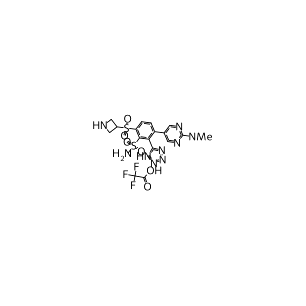 CNc1ncc(-c2ccc(S(=O)(=O)C3CNC3)c(S(N)(=O)=O)c2-c2nnn[nH]2)cn1.O=C(O)C(F)(F)F